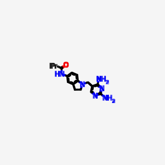 CC(C)C(=O)Nc1ccc2c(c1)CCN2Cc1cnc(N)nc1N